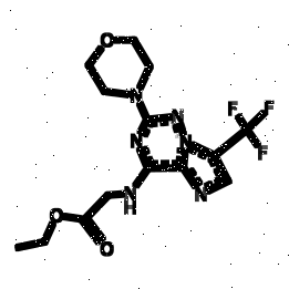 CCOC(=O)CNc1nc(N2CCOCC2)nn2c(C(F)(F)F)cnc12